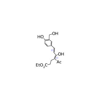 CCOC(=O)CC/C(C(C)=O)=C(O)\C=C\c1ccc(O)c(CO)c1